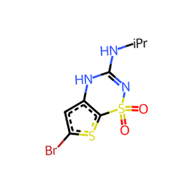 CC(C)NC1=NS(=O)(=O)c2sc(Br)cc2N1